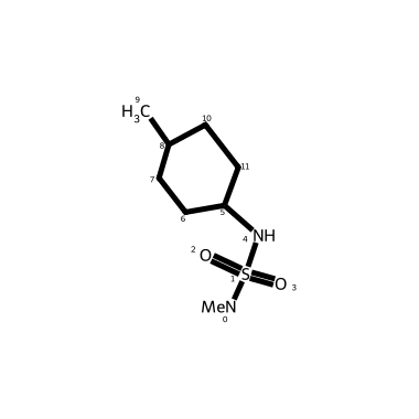 CNS(=O)(=O)NC1CCC(C)CC1